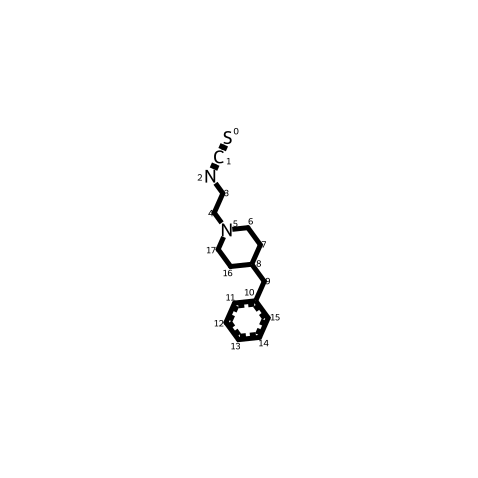 S=C=NCCN1CCC(Cc2ccccc2)CC1